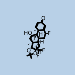 CC1(C)O[C@@H]2C[C@H]3[C@@H]4C[C@H](F)C5=CC(=O)C=C[C@]5(C)[C@@]4(Cl)[C@@H](O)C[C@]3(C)[C@]2(C(=O)C(F)F)O1